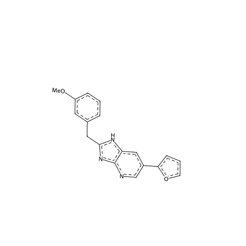 COc1cccc(Cc2nc3ncc(-c4ccco4)cc3[nH]2)c1